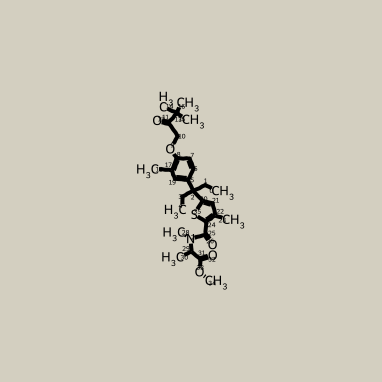 CCC(CC)(c1ccc(OCC(=O)C(C)(C)C)c(C)c1)c1cc(C)c(C(=O)N(C)C(C)C(=O)OC)s1